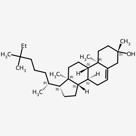 CCC(C)(C)CCC[C@@H](C)[C@H]1CC[C@H]2[C@@H]3CC=C4C[C@@](C)(O)CC[C@]4(C)[C@H]3CC[C@]12C